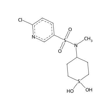 CN(C1CCS(O)(O)CC1)S(=O)(=O)c1ccc(Cl)nc1